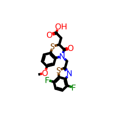 COc1ccc2c(c1)N(Cc1nc3c(F)ccc(F)c3s1)C(=O)C(CC(=O)O)S2